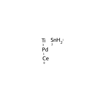 [Ce].[Pd].[SnH2].[Ti]